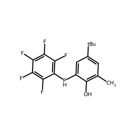 Cc1cc(C(C)(C)C)cc(Pc2c(F)c(F)c(F)c(F)c2F)c1O